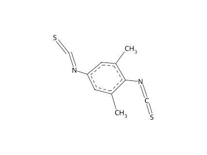 Cc1cc(N=C=S)cc(C)c1N=C=S